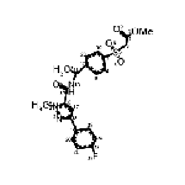 COC(=O)CS(=O)(=O)c1ccc(C(C)NC(=O)c2cc(-c3ccc(F)cc3)nn2C)cc1